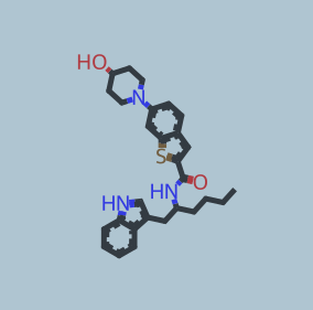 CCCCC(Cc1c[nH]c2ccccc12)NC(=O)c1cc2ccc(N3CCC(O)CC3)cc2s1